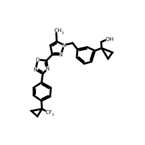 Cc1cc(-c2nc(-c3ccc(C4(C(F)(F)F)CC4)cc3)no2)nn1Cc1cccc(C2(CO)CC2)c1